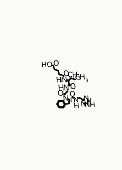 CC[C@H](C)[C@H](NC(=O)CCCC(=O)O)C(=O)NCC(=O)N1c2ccccc2C[C@H]1C(=O)NCc1nn[nH]n1